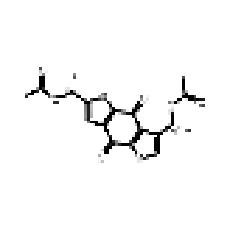 CC(=O)O[C@H](C)c1cc2c(s1)C(=O)c1c([C@@H](C)OC(C)=O)csc1C2=O